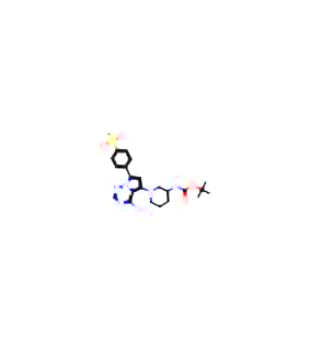 CC(C)(C)OC(=O)NC1CCCN(c2cc(-c3ccc(S(C)(=O)=O)cc3)n3ncnc(N)c23)C1